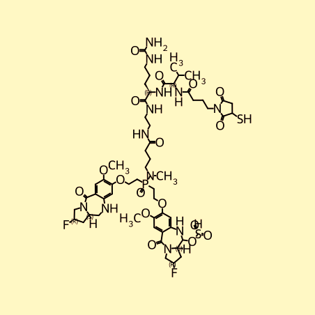 COc1cc2c(cc1OCCP(=O)(CCOc1cc3c(cc1OC)C(=O)N1C[C@H](F)C[C@H]1C(O[SH](=O)=O)N3)N(C)CCCC(=O)NCCNC(=O)[C@@H](CCCNC(N)=O)NC(=O)[C@H](NC(=O)CCCN1C(=O)CC(S)C1=O)C(C)C)NC[C@@H]1C[C@@H](F)CN1C2=O